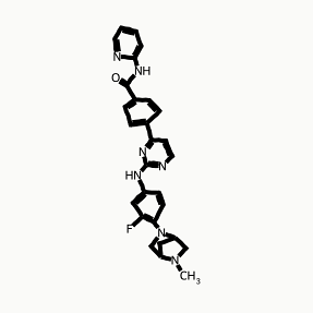 CN1CC2CC1CN2c1ccc(Nc2nccc(-c3ccc(C(=O)Nc4ccccn4)cc3)n2)cc1F